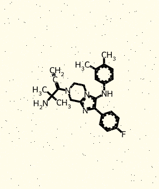 C=C=C(N1CCn2c(nc(-c3ccc(F)cc3)c2Nc2ccc(C)c(C)c2)C1)C(C)(C)N